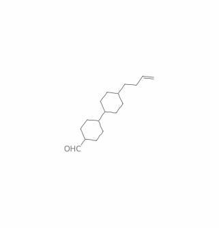 C=CCCC1CCC(C2CCC(C=O)CC2)CC1